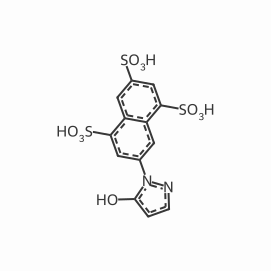 O=S(=O)(O)c1cc(S(=O)(=O)O)c2cc(-n3nccc3O)cc(S(=O)(=O)O)c2c1